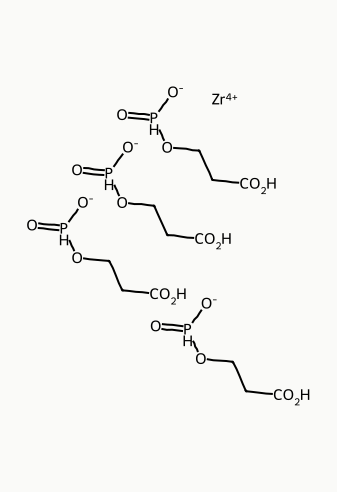 O=C(O)CCO[PH](=O)[O-].O=C(O)CCO[PH](=O)[O-].O=C(O)CCO[PH](=O)[O-].O=C(O)CCO[PH](=O)[O-].[Zr+4]